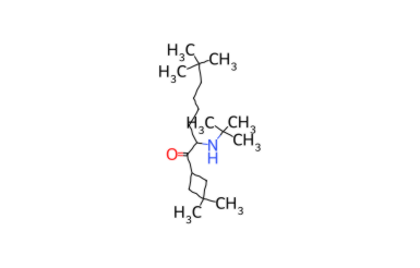 CC(C)(C)CCCCC(NC(C)(C)C)C(=O)C1CC(C)(C)C1